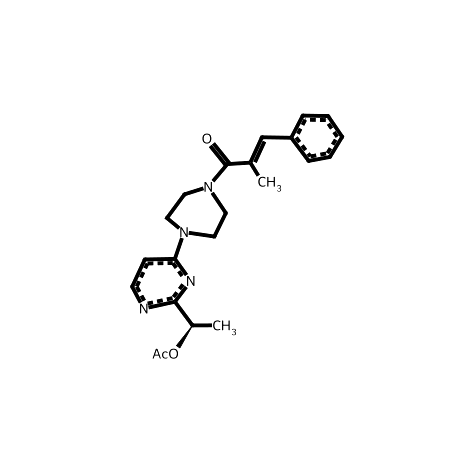 CC(=O)O[C@H](C)c1nccc(N2CCN(C(=O)/C(C)=C/c3ccccc3)CC2)n1